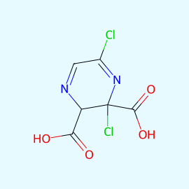 O=C(O)C1N=CC(Cl)=NC1(Cl)C(=O)O